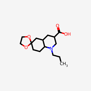 CCCN1CC(C(=O)O)CC2CC3(CCC21)OCCO3